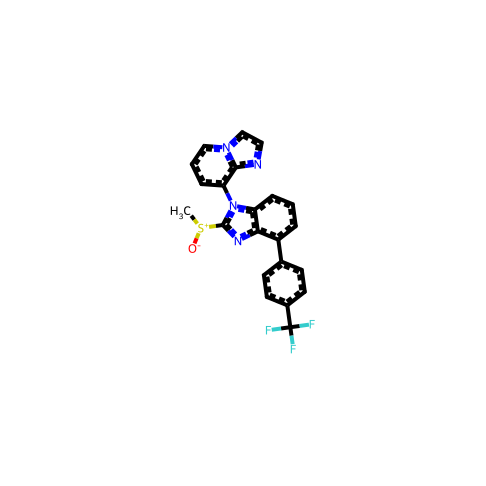 C[S+]([O-])c1nc2c(-c3ccc(C(F)(F)F)cc3)cccc2n1-c1cccn2ccnc12